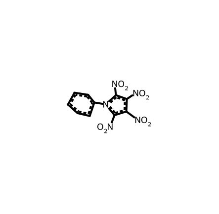 O=[N+]([O-])c1c([N+](=O)[O-])c([N+](=O)[O-])n(-c2ccccc2)c1[N+](=O)[O-]